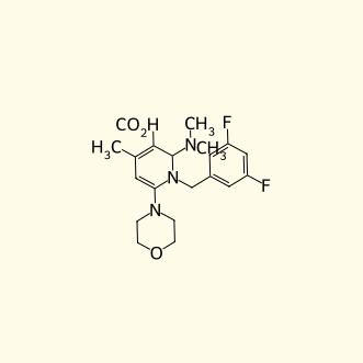 CC1=C(C(=O)O)C(N(C)C)N(Cc2cc(F)cc(F)c2)C(N2CCOCC2)=C1